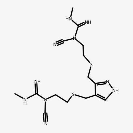 CNC(=N)N(C#N)CCSCc1c[nH]nc1CSCCN(C#N)C(=N)NC